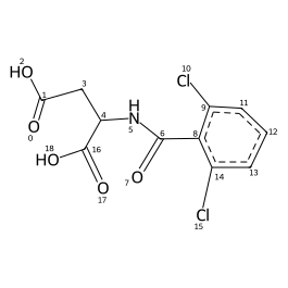 O=C(O)CC(NC(=O)c1c(Cl)cccc1Cl)C(=O)O